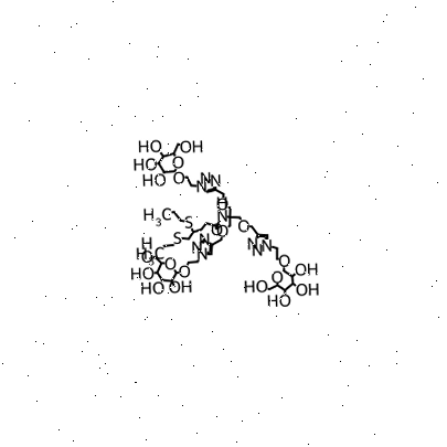 CCCSCC(CCC(=O)NC(COCc1cn(CCOC2OC(CO)C(O)C(O)C2O)nn1)(COCc1cn(CCOC2OC(CO)C(O)C(O)C2O)nn1)COCc1cn(CCOC2OC(CO)C(O)C(O)C2O)nn1)SCCC